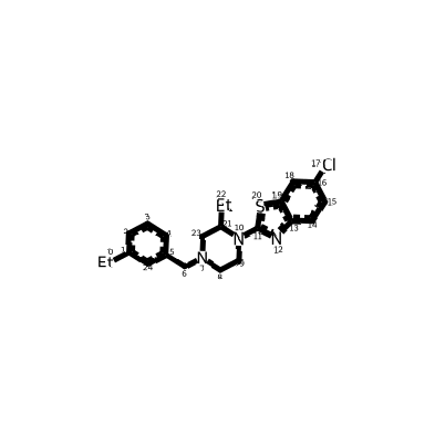 CCc1cccc(CN2CCN(c3nc4ccc(Cl)cc4s3)C(CC)C2)c1